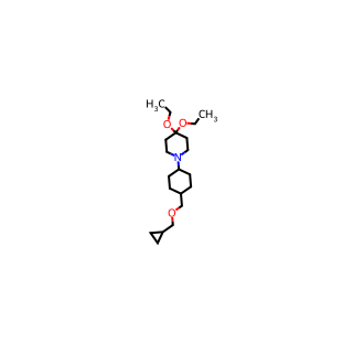 CCOC1(OCC)CCN(C2CCC(COCC3CC3)CC2)CC1